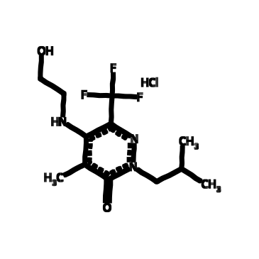 Cc1c(NCCO)c(C(F)(F)F)nn(CC(C)C)c1=O.Cl